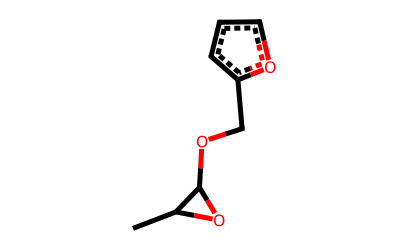 CC1OC1OCc1ccco1